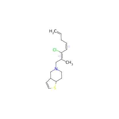 C=CC/C=C\C(Cl)=C(/C)CN1CCC2SC=CC2C1